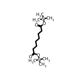 C[Si](C)(C)OC(=O)CCCCCCC(=O)O[Si](C)(C)C